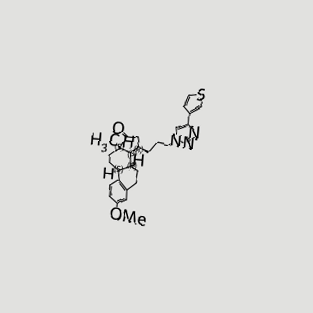 COc1ccc2c(c1)CC[C@H]1[C@@H]3[C@H](CCCn4cc(-c5ccsc5)nn4)CC(=O)[C@@]3(C)CC[C@H]21